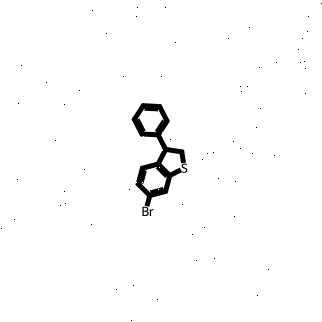 Brc1ccc2c(c1)SCC2c1ccccc1